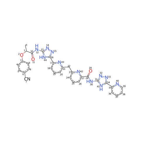 CC(Oc1ccc(C#N)cc1)C(=O)Nc1nnc(-c2cccc(Cc3cccc(C(=O)Nc4nnc(-c5ccccn5)[nH]4)n3)n2)[nH]1